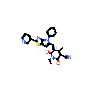 CCN1C(=O)C(C#N)=C(C)/C(=C/c2cc3sc(-c4cccnc4)nc3n2-c2ccccc2)C1=O